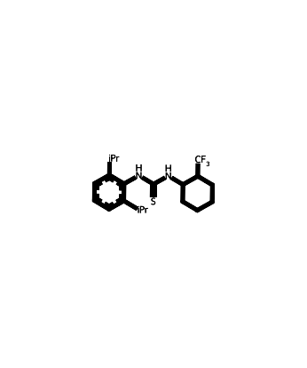 CC(C)c1cccc(C(C)C)c1NC(=S)NC1CCCCC1C(F)(F)F